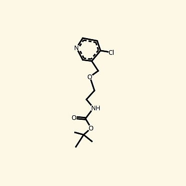 CC(C)(C)OC(=O)NCCOCc1cnccc1Cl